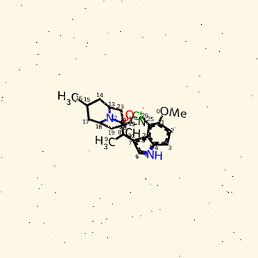 COc1ccc2[nH]cc(C(C)C(=O)N3C4CC(C)CC3CC(C)(C#N)C4)c2c1Cl